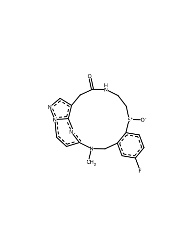 CN1Cc2cc(F)ccc2[S+]([O-])CCNC(=O)Cc2cnn3ccc1nc23